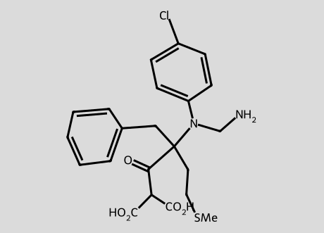 CSCCC(Cc1ccccc1)(C(=O)C(C(=O)O)C(=O)O)N(CN)c1ccc(Cl)cc1